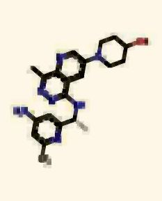 Cc1nnc(N[C@H](C)c2cc(N)cc(C(F)(F)F)n2)c2cc(N3CCC(O)CC3)cnc12